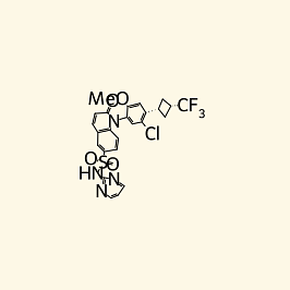 COc1cc([C@H]2C[C@@H](C(F)(F)F)C2)c(Cl)cc1-n1c(=O)ccc2cc(S(=O)(=O)Nc3ncccn3)ccc21